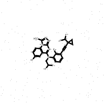 Cc1nnc2nc(N(CC(F)F)c3cccc(C#CC4(C(F)F)CC4)c3F)c3cc(F)ccc3n12